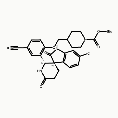 C#Cc1ccc(OCC2CCN(C(=O)OC(C)(C)C)CC2)c([C@H]2NC(=O)CC[C@]23C(=O)Nc2cc(Cl)ccc23)c1